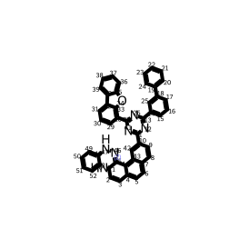 N=C1C=Cc2ccc3ccc(-c4nc(-c5cccc(-c6ccccc6)c5)nc(-c5cccc6c5oc5ccccc56)n4)cc3c2/C1=N/Nc1ccccc1